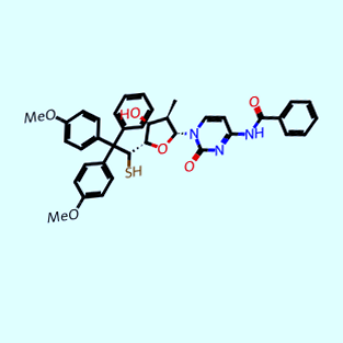 COc1ccc(C(c2ccccc2)(c2ccc(OC)cc2)C(S)[C@H]2O[C@@H](n3ccc(NC(=O)c4ccccc4)nc3=O)[C@H](C)[C@@H]2O)cc1